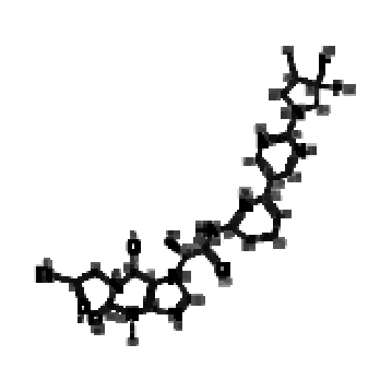 CCC(=O)Cn1c(=O)c2c(ncn2[C@@H](C)C(=O)Nc2cccc(-c3cnc(N4CC(C)C(F)(F)C4)nc3)n2)n(C)c1=O